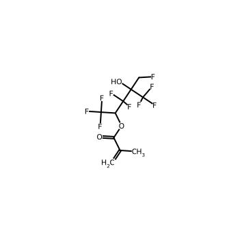 C=C(C)C(=O)OC(C(F)(F)F)C(F)(F)C(O)(CF)C(F)(F)F